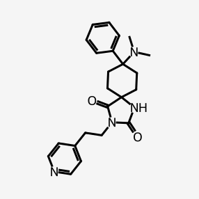 CN(C)C1(c2ccccc2)CCC2(CC1)NC(=O)N(CCc1ccncc1)C2=O